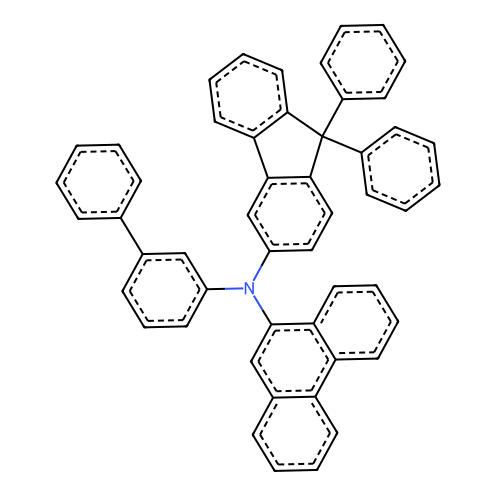 c1ccc(-c2cccc(N(c3ccc4c(c3)-c3ccccc3C4(c3ccccc3)c3ccccc3)c3cc4ccccc4c4ccccc34)c2)cc1